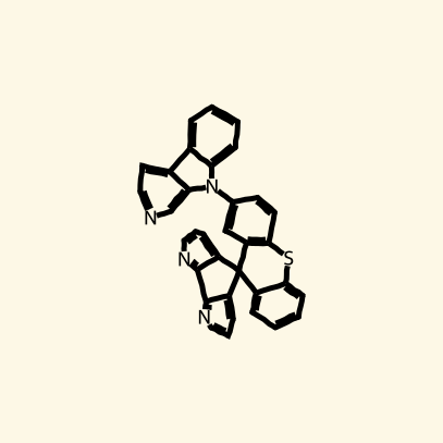 c1ccc2c(c1)Sc1ccc(-n3c4ccccc4c4ccncc43)cc1C21c2cccnc2-c2ncccc21